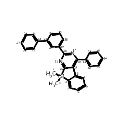 C[Si]1(C)c2ccccc2-c2c(-c3ccccc3)nc(-c3cccc(-c4ccccc4)c3)nc21